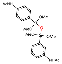 CO[Si](OC)(O[Si](OC)(OC)c1cccc(NC(C)=O)c1)c1ccc(NC(C)=O)cc1